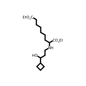 CCOC(=O)CCCCCCC(NCCC(O)C1CCC1)C(=O)OCC